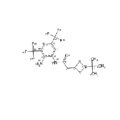 CC(C)(C)N1CC(CC(=O)Nc2cc(C(F)(F)F)cc(C(F)(F)F)c2N)C1